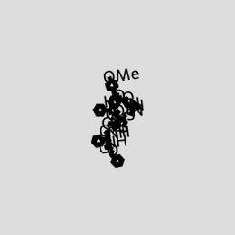 COc1ccc(CONC(=O)Cn2nnnc2SCC2=C(C(=O)OC(c3ccccc3)c3ccccc3)N3C(=O)[C@@H](NC(=O)C(NC(=O)OCc4ccccc4)c4ccccc4)[C@@H]3SC2)cc1